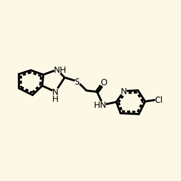 O=C(CSC1Nc2ccccc2N1)Nc1ccc(Cl)cn1